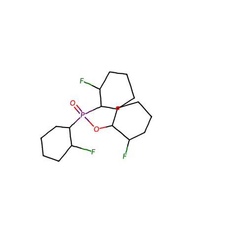 O=P(OC1CCCCC1F)(C1CCCCC1F)C1CCCCC1F